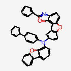 c1ccc(-c2ccc(N(c3ccc4oc5ccc6nc(-c7ccccc7)oc6c5c4c3)c3cccc4c3oc3ccccc34)cc2)cc1